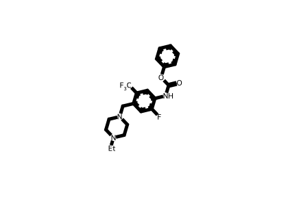 CCN1CCN(Cc2cc(F)c(NC(=O)Oc3ccccc3)cc2C(F)(F)F)CC1